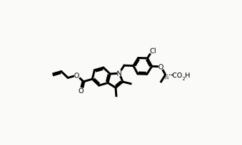 C=CCOC(=O)c1ccc2c(c1)c(C)c(C)n2Cc1ccc(O[C@@H](C)C(=O)O)c(Cl)c1